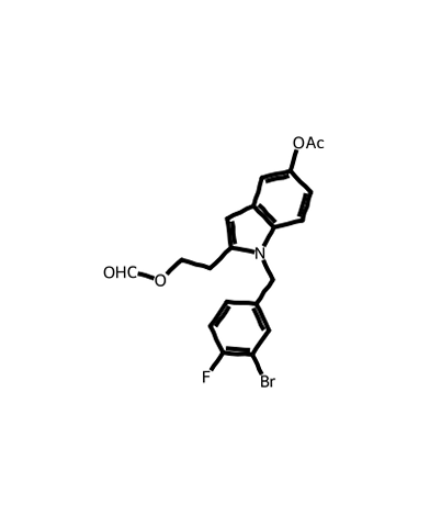 CC(=O)Oc1ccc2c(c1)cc(CCOC=O)n2Cc1ccc(F)c(Br)c1